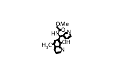 COCC(=O)NC(c1cccnc1)c1cc(C)c2cccnc2c1O